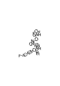 CCOc1cc(N2CCN(C3CCN(CCF)CC3)CC2)ccc1Nc1nccc(-c2c(-c3cccc(C(=O)Nc4c(F)cccc4F)c3)nc3ccccn23)n1